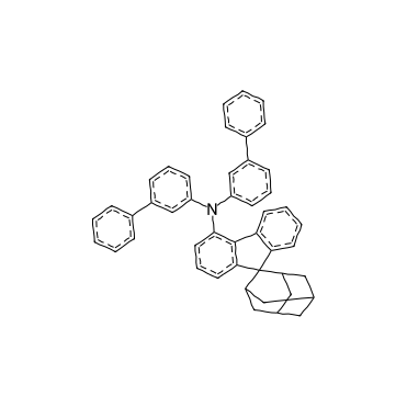 c1ccc(-c2cccc(N(c3cccc(-c4ccccc4)c3)c3cccc4c3-c3ccccc3C43C4CC5CC(C4)CC3C5)c2)cc1